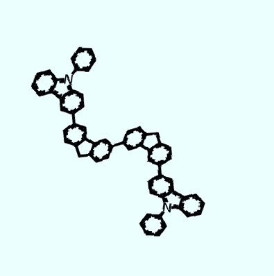 c1ccc(-n2c3ccccc3c3cc(-c4ccc5c(c4)-c4cc(-c6ccc7c(c6)-c6cc(-c8ccc9c(c8)c8ccccc8n9-c8ccccc8)ccc6C7)ccc4C5)ccc32)cc1